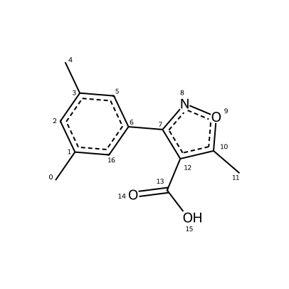 Cc1cc(C)cc(-c2noc(C)c2C(=O)O)c1